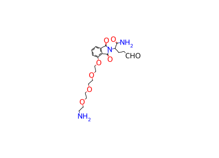 NCCOCCOCCOCCOc1cccc2c1C(=O)N(C(CCC=O)C(N)=O)C2=O